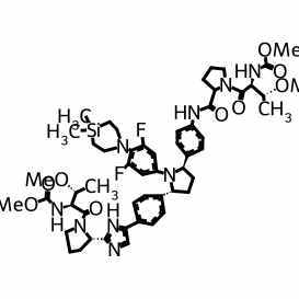 COC(=O)N[C@H](C(=O)N1CCCC1C(=O)Nc1ccc([C@H]2CC[C@H](c3ccc(-c4cnc([C@@H]5CCCN5C(=O)[C@@H](NC(=O)OC)[C@@H](C)OC)[nH]4)cc3)N2c2cc(F)c(N3CC[Si](C)(C)CC3)c(F)c2)cc1)[C@@H](C)OC